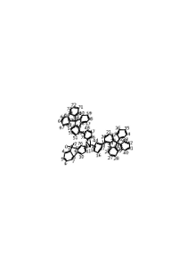 CC1(C)c2ccccc2-c2ccc(N(c3cccc(-c4cccc5c4-c4ccccc4C5(c4ccccc4)c4ccccc4)c3)c3cccc(-c4cccc5c4-c4ccccc4C5(c4ccccc4)c4ccccc4)c3)cc21